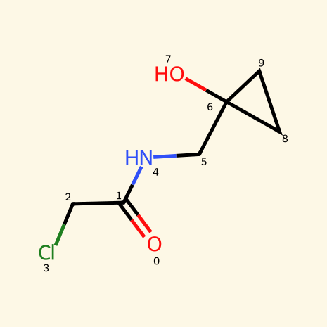 O=C(CCl)NCC1(O)CC1